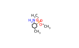 CCOP(=O)(OCC)c1cc(C)ccc1N